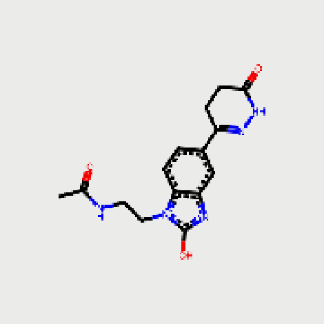 CC(=O)NCCn1c(O)nc2cc(C3=NNC(=O)CC3)ccc21